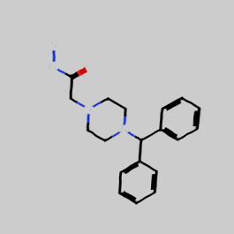 NNC(=O)CN1CCN(C(c2ccccc2)c2ccccc2)CC1